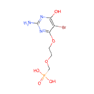 Nc1nc(O)c(Br)c(OCCOCP(=O)(O)O)n1